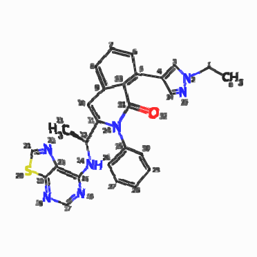 CCn1cc(-c2cccc3cc([C@H](C)Nc4ncnc5scnc45)n(-c4ccccc4)c(=O)c23)cn1